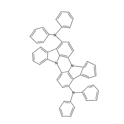 c1ccc(N(c2ccccc2)c2ccc3c4c2c2ccccc2n4c2ccc(N(c4ccccc4)c4ccccc4)c4c5ccccc5n3c42)cc1